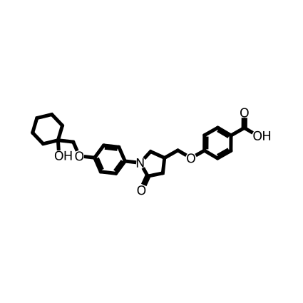 O=C(O)c1ccc(OCC2CC(=O)N(c3ccc(OCC4(O)CCCCC4)cc3)C2)cc1